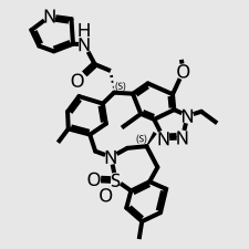 CCn1nnc2c(C)c([C@@H](CC(=O)Nc3cccnc3)c3ccc(C)c(CN4C[C@@H](C)Cc5ccc(C)cc5S4(=O)=O)c3)cc(OC)c21